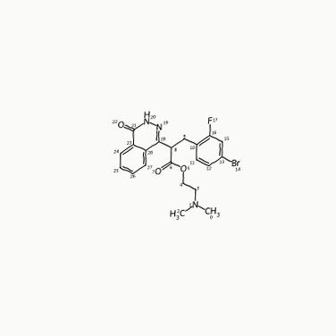 CN(C)CCOC(=O)C(Cc1ccc(Br)cc1F)c1n[nH]c(=O)c2ccccc12